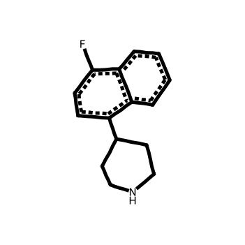 Fc1ccc(C2CCNCC2)c2ccccc12